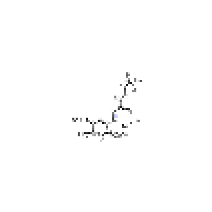 COc1cc(/C=C/C(=O)OCC[N+](C)(C)C)c(OC)cc1O.N#C[S-]